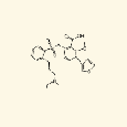 CCN(CC)CCCc1ccccc1S(=O)(=O)Cc1ccc(-c2ccoc2)c(OC)c1C(=O)O